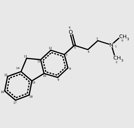 CN(C)CCC(=O)c1ccc2c(c1)Cc1ccccc1-2